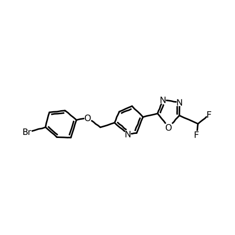 FC(F)c1nnc(-c2ccc(COc3ccc(Br)cc3)nc2)o1